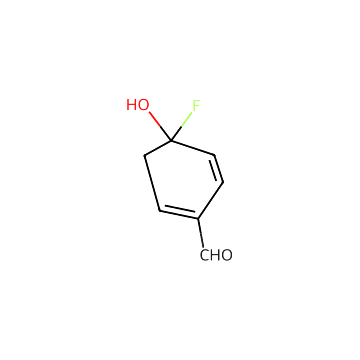 O=CC1=CCC(O)(F)C=C1